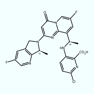 C[C@@H](Nc1ccc(Cl)nc1C(=O)O)c1cc(F)cn2c(=O)cc(N3Cc4cc(F)cnc4[C@@H]3C)nc12